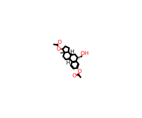 CC(=O)Oc1ccc2c(c1)[C@H](CO)C[C@H]1C3CCC(OC(C)=O)[C@@]3(C)CC[C@H]21